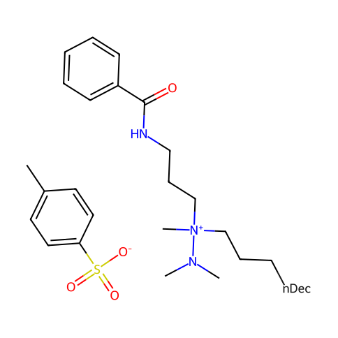 CCCCCCCCCCCCC[N+](C)(CCCNC(=O)c1ccccc1)N(C)C.Cc1ccc(S(=O)(=O)[O-])cc1